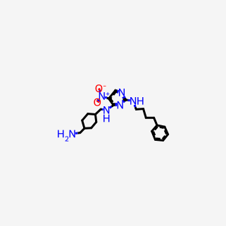 NCC1CCC(CNc2nc(NCCCCc3ccccc3)ncc2[N+](=O)[O-])CC1